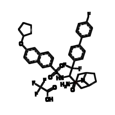 NC1CC2CCC(C1)N2C(=O)C(NS(=O)(=O)c1ccc2cc(OC3CCCC3)ccc2c1)C(F)(F)c1ccc(-c2ccc(F)cc2)cc1.O=C(O)C(F)(F)F